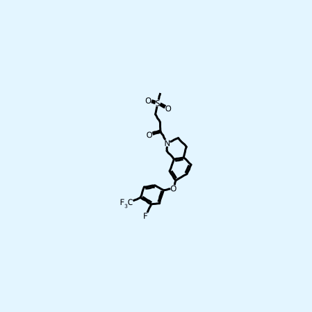 CS(=O)(=O)CCC(=O)N1CCc2ccc(Oc3ccc(C(F)(F)F)c(F)c3)cc2C1